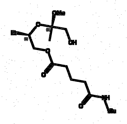 CC[C@H](COC(=O)CCCC(=O)NC(C)(C)C)O[C@@](C)(CO)OC